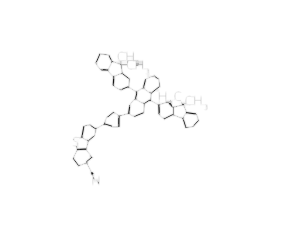 CC1(C)c2ccccc2-c2ccc(-c3c4ccccc4c(-c4ccc5c(c4)C(C)(C)c4ccccc4-5)c4cc(-c5ccc(-c6ccc7sc8ccc(C#N)cc8c7c6)cc5)ccc34)cc21